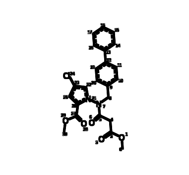 COC(=O)CC(=O)N(Cc1ccc(-c2ccccc2)cc1)n1cc(Cl)cc1C(=O)OC